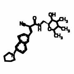 CC1O[C@H](CNC(=O)/C(C#N)=C/c2ccc3cc(N4CCCCC4)ccc3c2)C(O)C(C)C1C